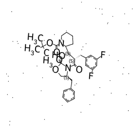 CC(C)(C)OC(=O)N1CCCCC1[C@@H](O)[C@H](Cc1cc(F)cc(F)c1)C(=O)N1C(=O)OC[C@@H]1Cc1ccccc1